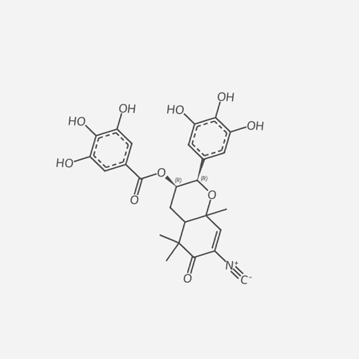 [C-]#[N+]C1=CC2(C)O[C@H](c3cc(O)c(O)c(O)c3)[C@H](OC(=O)c3cc(O)c(O)c(O)c3)CC2C(C)(C)C1=O